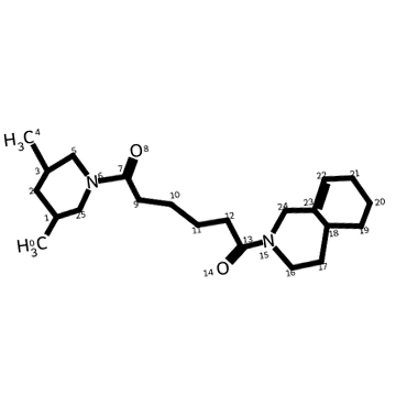 CC1CC(C)CN(C(=O)CCCCC(=O)N2CCC3CCCC=C3C2)C1